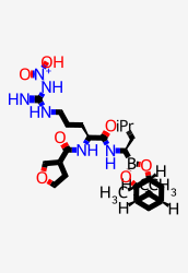 CC(C)C[C@H](NC(=O)[C@H](CCCNC(=N)N[N+](=O)O)NC(=O)C1CCOC1)B1O[C@@H]2C[C@@H]3C[C@@H](C3(C)C)[C@]2(C)O1